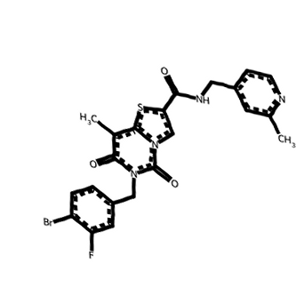 Cc1cc(CNC(=O)c2cn3c(=O)n(Cc4ccc(Br)c(F)c4)c(=O)c(C)c3s2)ccn1